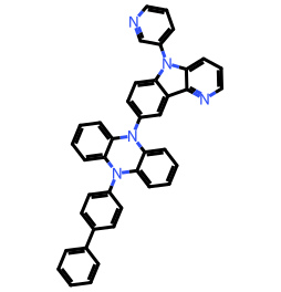 c1ccc(-c2ccc(N3c4ccccc4N(c4ccc5c(c4)c4ncccc4n5-c4cccnc4)c4ccccc43)cc2)cc1